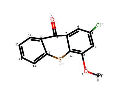 CC(C)Oc1cc(Cl)cc2c(=O)c3ccccc3sc12